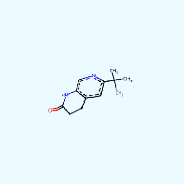 CC(C)(C)c1cc2c(cn1)NC(=O)CC2